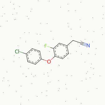 N#CCc1ccc(Oc2ccc(Cl)cc2)c(F)c1